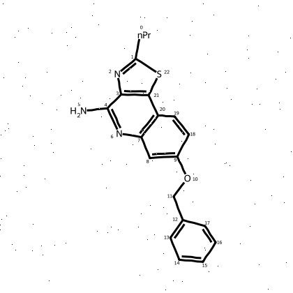 CCCc1nc2c(N)nc3cc(OCc4ccccc4)ccc3c2s1